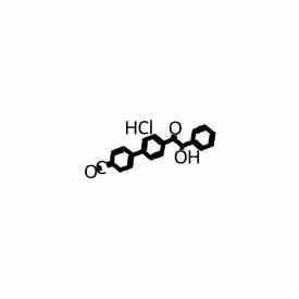 Cl.O=C=C1C=CC(c2ccc(C(=O)C(O)c3ccccc3)cc2)=CC1